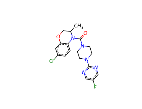 CC1COc2cc(Cl)ccc2N1C(=O)N1CCN(c2ncc(F)cn2)CC1